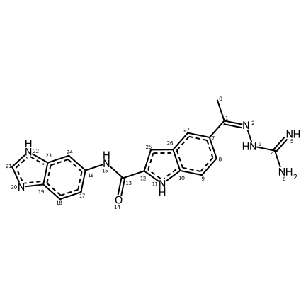 C/C(=N/NC(=N)N)c1ccc2[nH]c(C(=O)Nc3ccc4nc[nH]c4c3)cc2c1